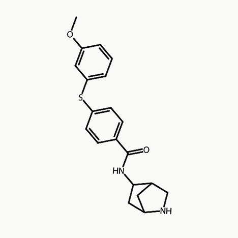 COc1cccc(Sc2ccc(C(=O)NC3CC4CC3CN4)cc2)c1